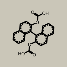 O=C(O)Oc1ccc2ccccc2c1-c1c(OC(=O)O)ccc2ccccc12